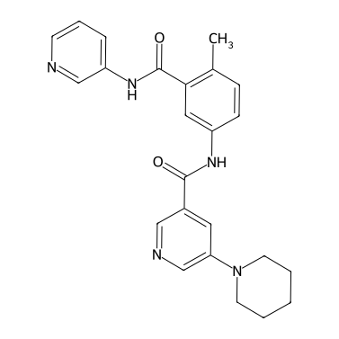 Cc1ccc(NC(=O)c2cncc(N3CCCCC3)c2)cc1C(=O)Nc1cccnc1